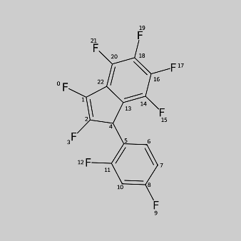 FC1=C(F)C(c2ccc(F)cc2F)c2c(F)c(F)c(F)c(F)c21